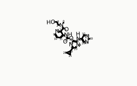 CN(CCO)C(=O)c1ncccc1NC(=O)Oc1nc(C2CC2)cnc1Nc1cncnc1